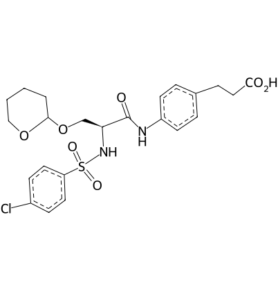 O=C(O)CCc1ccc(NC(=O)[C@H](COC2CCCCO2)NS(=O)(=O)c2ccc(Cl)cc2)cc1